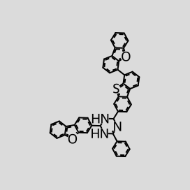 c1ccc(C2=NC(c3ccc4c(c3)sc3c(-c5cccc6c5oc5ccccc56)cccc34)NC(c3ccc4c(c3)oc3ccccc34)N2)cc1